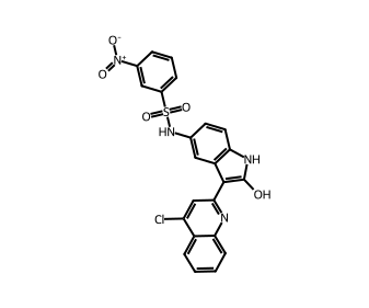 O=[N+]([O-])c1cccc(S(=O)(=O)Nc2ccc3[nH]c(O)c(-c4cc(Cl)c5ccccc5n4)c3c2)c1